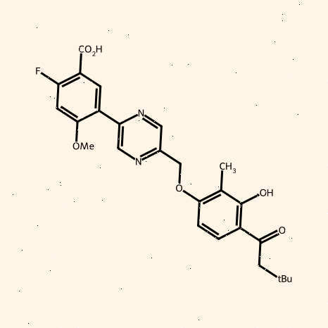 COc1cc(F)c(C(=O)O)cc1-c1cnc(COc2ccc(C(=O)CC(C)(C)C)c(O)c2C)cn1